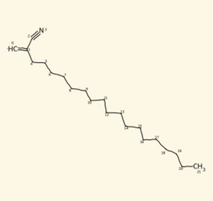 [CH]=C(C#N)CCCCCCCCCCCCCCCCCC